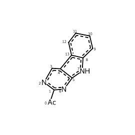 CC(=O)c1ncc2c(n1)[nH]c1ccccc12